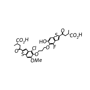 COc1cc2sc(C(=O)C[C@H](C)C(=O)O)cc2c(Cl)c1OCCCOc1c(O)cc2sc(C(=O)C[C@H](C)C(=O)O)cc2c1F